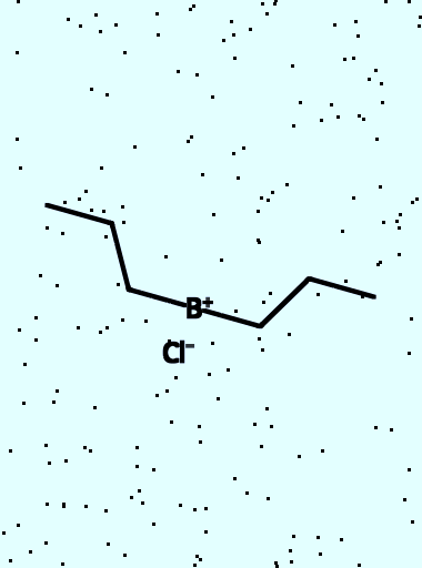 CCC[B+]CCC.[Cl-]